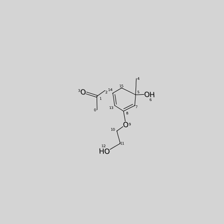 CC(C)=O.CC1(O)C=C(OCCO)C=CC1